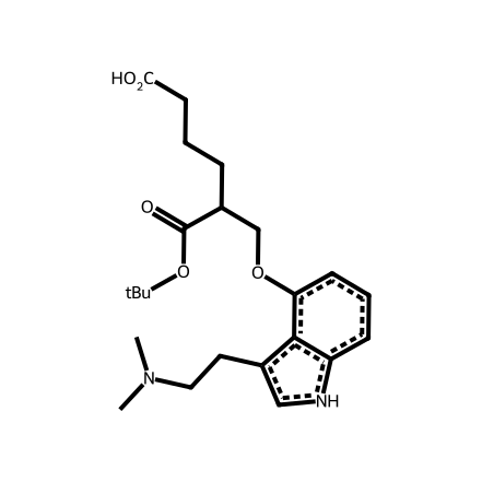 CN(C)CCc1c[nH]c2cccc(OCC(CCCC(=O)O)C(=O)OC(C)(C)C)c12